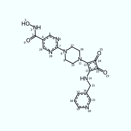 O=C(NO)c1cnc(N2CCN(c3c(NCc4cccnc4)c(=O)c3=O)CC2)nc1